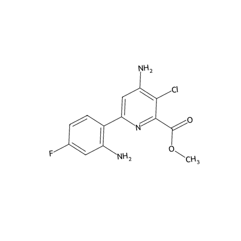 COC(=O)c1nc(-c2ccc(F)cc2N)cc(N)c1Cl